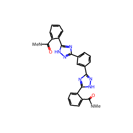 CNC(=O)c1ccccc1-c1nc(-c2cccc(-c3n[nH]c(-c4ccccc4C(=O)NC)n3)c2)n[nH]1